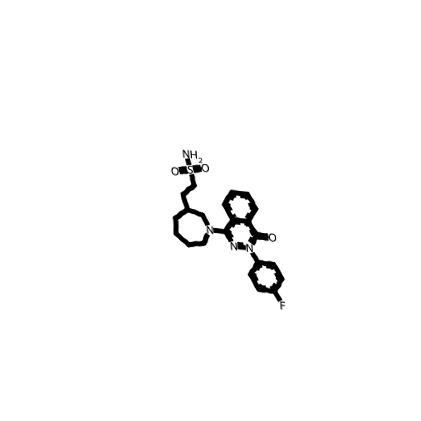 NS(=O)(=O)CCC1CCCCN(c2nn(-c3ccc(F)cc3)c(=O)c3ccccc23)C1